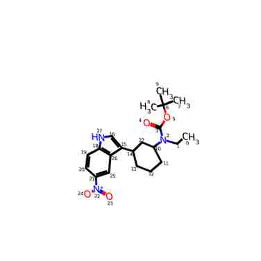 CCN(C(=O)OC(C)(C)C)C1CCCC(c2c[nH]c3ccc([N+](=O)[O-])cc23)C1